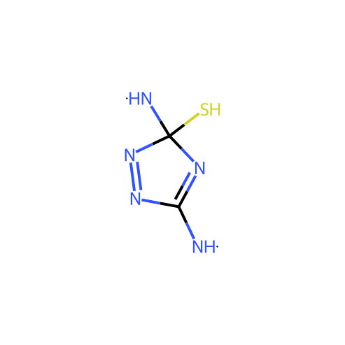 [NH]C1=NC([NH])(S)N=N1